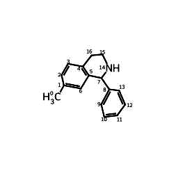 Cc1ccc2c(c1)C(c1ccccc1)NCC2